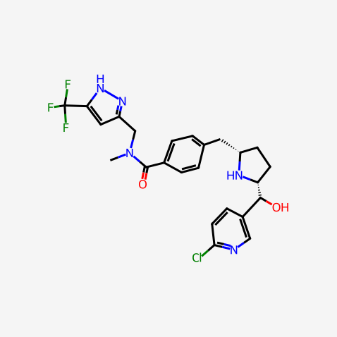 CN(Cc1cc(C(F)(F)F)[nH]n1)C(=O)c1ccc(C[C@@H]2CC[C@H](C(O)c3ccc(Cl)nc3)N2)cc1